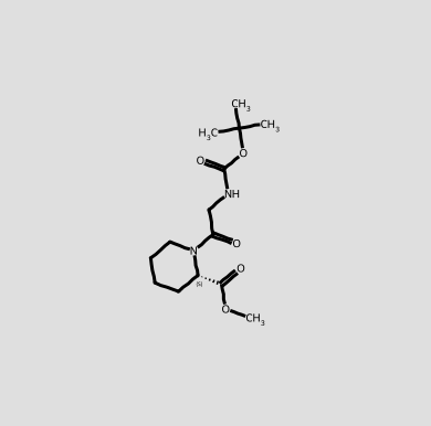 COC(=O)[C@@H]1CCCCN1C(=O)CNC(=O)OC(C)(C)C